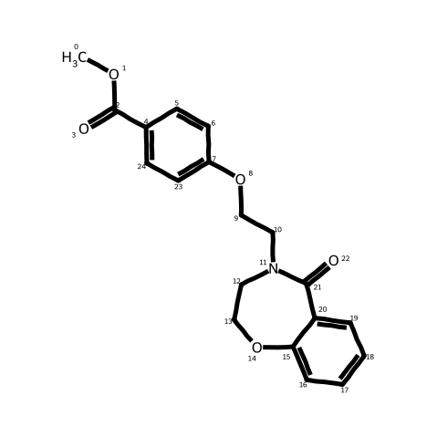 COC(=O)c1ccc(OCCN2CCOc3ccccc3C2=O)cc1